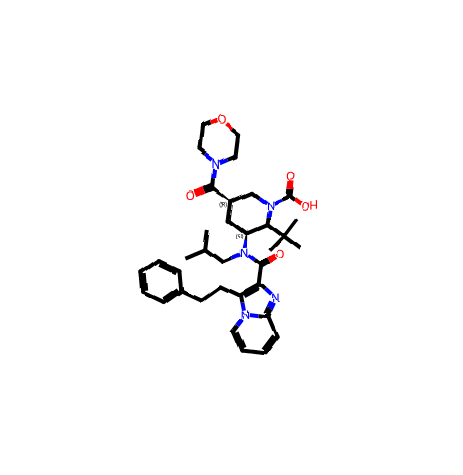 CC(C)CN(C(=O)c1nc2ccccn2c1CCc1ccccc1)[C@H]1C[C@@H](C(=O)N2CCOCC2)CN(C(=O)O)C1C(C)(C)C